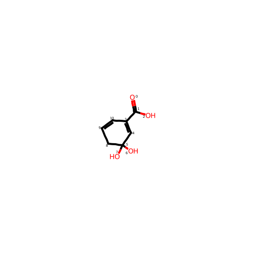 O=C(O)C1=CC(O)(O)CC=C1